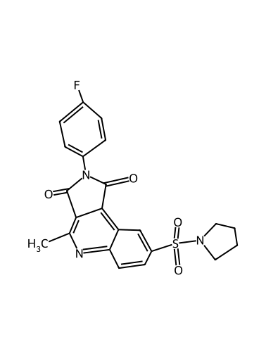 Cc1nc2ccc(S(=O)(=O)N3CCCC3)cc2c2c1C(=O)N(c1ccc(F)cc1)C2=O